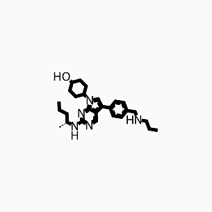 CCCNCc1ccc(-c2cn(C3CCC(O)CC3)c3nc(N[C@H](C)CCC)ncc23)cc1